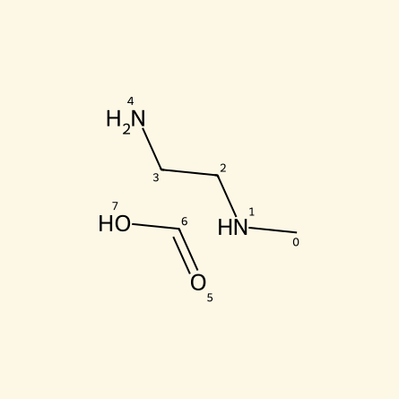 CNCCN.O=CO